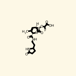 CC1=C[C@@H]2CN(C(=O)N2OC(F)C(=O)O)[C@@H]1C(=O)NCCC1CCC(=O)N1